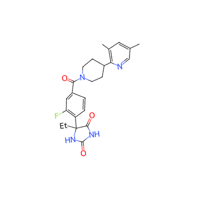 CCC1(c2ccc(C(=O)N3CCC(c4ncc(C)cc4C)CC3)cc2F)NC(=O)NC1=O